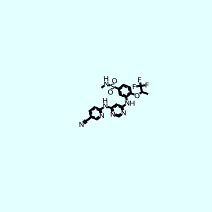 CNS(=O)(=O)c1ccc(OC(C)C(F)(F)F)c(Nc2cc(Nc3ccc(C#N)cn3)ncn2)c1